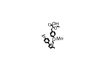 CCO[C@@H](Cc1ccc(OCCn2c(C)ccc2-c2ccc(SC)cc2)cc1)C(=O)O.[Mn]